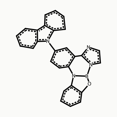 c1ccc2c(c1)OB1N2c2ccc(-n3c4ccccc4c4ccccc43)cc2-c2nccn21